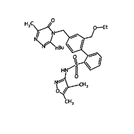 CCCCc1nnc(C)c(=O)n1Cc1ccc(-c2ccccc2S(=O)(=O)Nc2noc(C)c2C)c(COCC)c1